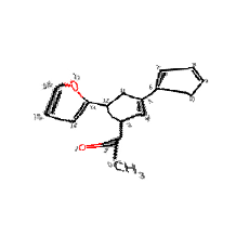 CC(=O)C1C=C(C2=CC=CC2)CC1c1ccco1